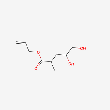 C=CCOC(=O)C(C)CC(O)CO